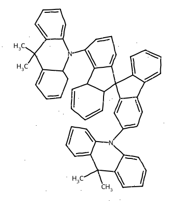 CC1(C)C2=CC=CCC2N(c2cccc3c2C2C=CC=CC2C32c3ccccc3-c3ccc(N4c5ccccc5C(C)(C)c5ccccc54)cc32)c2ccccc21